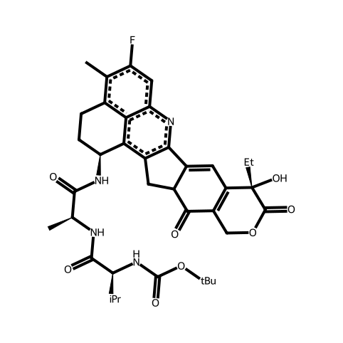 CC[C@@]1(O)C(=O)OCC2=C1C=C1c3nc4cc(F)c(C)c5c4c(c3CC1C2=O)[C@@H](NC(=O)[C@H](C)NC(=O)[C@@H](NC(=O)OC(C)(C)C)C(C)C)CC5